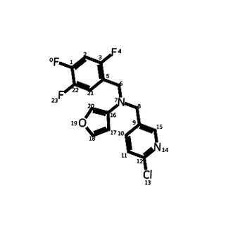 Fc1cc(F)c(CN(Cc2ccc(Cl)nc2)c2ccoc2)cc1F